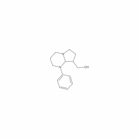 OCC1CCN2CCCN(c3ccccc3)C12